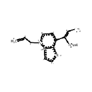 C=CC[n+]1ccc(/C(=C/C)CCCCC)c2nccn21